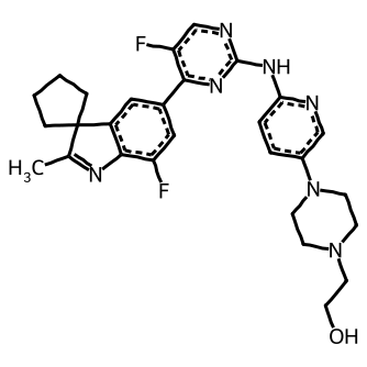 CC1=Nc2c(F)cc(-c3nc(Nc4ccc(N5CCN(CCO)CC5)cn4)ncc3F)cc2C12CCCC2